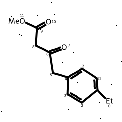 CCc1ccc(CC(=O)CC(=O)OC)cc1